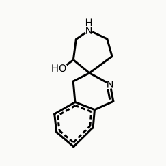 OC1CNCCC12Cc1ccccc1C=N2